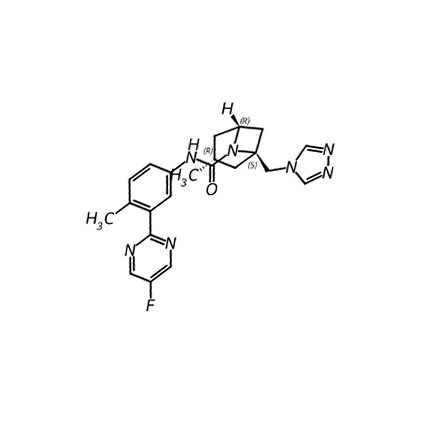 Cc1ccc(NC(=O)N2[C@@H]3C[C@@H](C)C[C@@]2(Cn2cnnc2)C3)cc1-c1ncc(F)cn1